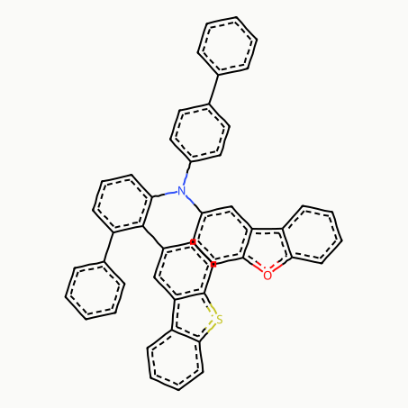 c1ccc(-c2ccc(N(c3ccc4oc5ccccc5c4c3)c3cccc(-c4ccccc4)c3-c3ccc4sc5ccccc5c4c3)cc2)cc1